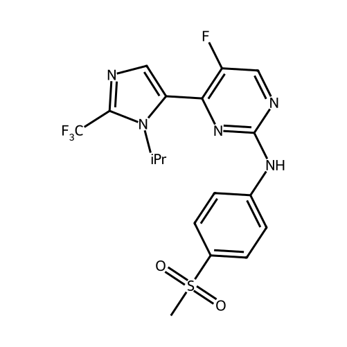 CC(C)n1c(-c2nc(Nc3ccc(S(C)(=O)=O)cc3)ncc2F)cnc1C(F)(F)F